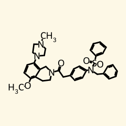 COc1ccc(N2CCN(C)CC2)c2c1CCN(C(=O)Cc1ccc(N(Cc3ccccc3)S(=O)(=O)c3ccccc3)cc1)C2